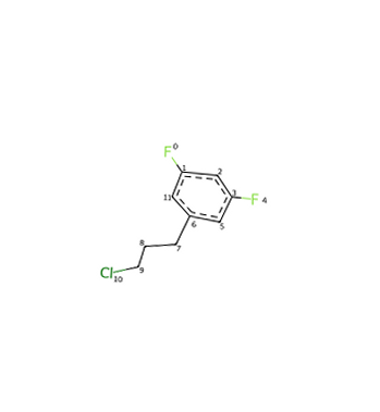 Fc1cc(F)cc(CCCCl)c1